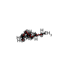 CCCCNC(=O)CCCCCNC(=O)CCc1ccc(O)c(CN(CCN(CC(=O)O)Cc2cc(CCC(=O)NC(CCC(=O)O)C(=O)O)ccc2O)CC(=O)O)c1